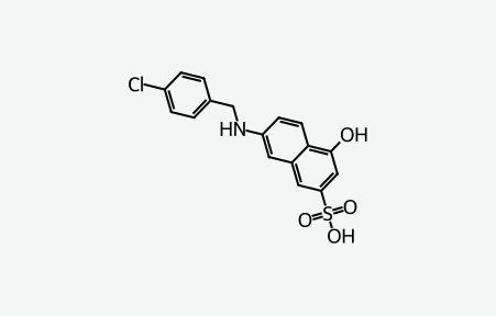 O=S(=O)(O)c1cc(O)c2ccc(NCc3ccc(Cl)cc3)cc2c1